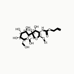 C=CCOC(=O)N[C@@H]1[C@@H](OCC)O[C@H](CO)[C@](O)([C@@H]2O[C@H](CO)[C@H](O)[C@H](O)[C@H]2O)[C@@H]1O